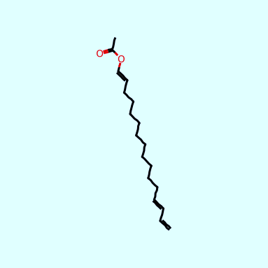 C=CC=CCCCCCCCCCCC=COC(C)=O